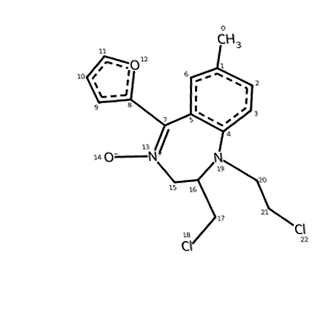 Cc1ccc2c(c1)C(c1ccco1)=[N+]([O-])CC(CCl)N2CCCl